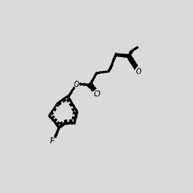 CC(=O)CCCC(=O)Oc1ccc(F)cc1